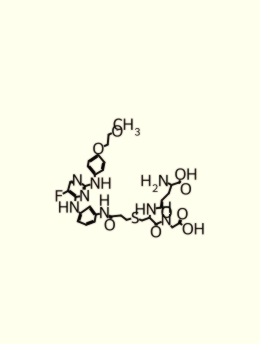 COCCOc1ccc(Nc2ncc(F)c(Nc3cccc(NC(=O)CCSCC(NC(=O)CCC(N)C(=O)O)C(=O)NCC(=O)O)c3)n2)cc1